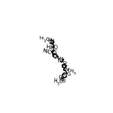 Cn1cc(C(=O)Nc2sc3c(c2C#N)CCN(c2ncc(Oc4ccc5cc(C(=O)N6CCC(S(C)(=O)=O)CC6)n(C)c5c4)cn2)C3)cn1